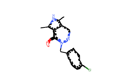 Cc1[nH]c(C)c2c(=O)n(Cc3ccc(Cl)cc3)ncc12